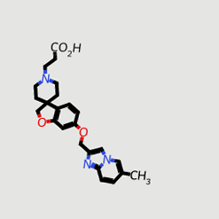 Cc1ccc2nc(COc3ccc4c(c3)OCC43CCN(CCC(=O)O)CC3)cn2c1